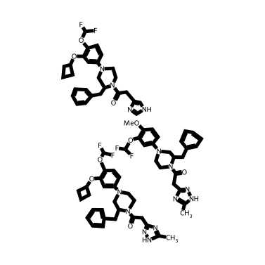 COc1ccc(N2CCN(C(=O)Cc3n[nH]c(C)n3)C(Cc3ccccc3)C2)cc1OC(F)F.Cc1nc(CC(=O)N2CCN(c3ccc(OC(F)F)c(OC4CCC4)c3)CC2Cc2ccccc2)n[nH]1.O=C(Cc1c[nH]cn1)N1CCN(c2ccc(OC(F)F)c(OC3CCC3)c2)CC1Cc1ccccc1